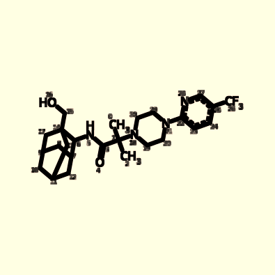 CC(C)(C(=O)NC1C2CC3CC(C2)CC1(CO)C3)N1CCN(c2ccc(C(F)(F)F)cn2)CC1